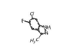 Cc1n[nH]c2cc(Cl)c(F)cc12